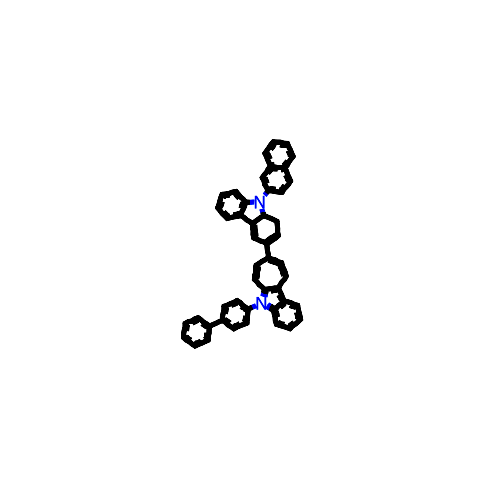 C1=Cc2c(n(-c3ccc(-c4ccccc4)cc3)c3ccccc23)C=CC=1C1=CCC2C(=C1)c1ccccc1N2c1ccc2ccccc2c1